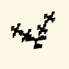 CCCCP(CCCC)CCCC.F[B-](F)(F)F.F[B-](F)(F)F.F[B-](F)(F)F.F[B-](F)(F)F